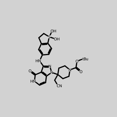 CC(C)(C)OC(=O)N1CCC(CC#N)(n2nc(Nc3ccc4c(c3)CCS4(O)O)c3c(=O)[nH]ccc32)CC1